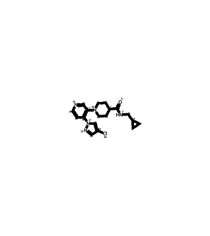 O=C(NCC1CC1)C1CCN(c2cnccc2-n2cc(Cl)cn2)CC1